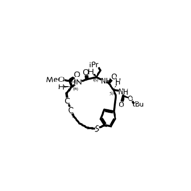 COC(=O)[C@H]1CCCCCCSc2ccc(cc2)C[C@H](NC(=O)OC(C)(C)C)C(=O)N[C@@H](CC(C)C)C(=O)N1